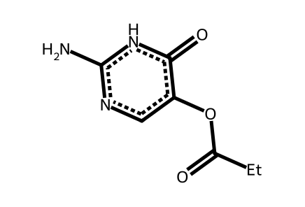 CCC(=O)Oc1cnc(N)[nH]c1=O